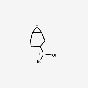 CC[SiH](O)C1CCC2OC2C1